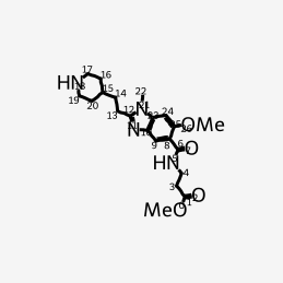 COC(=O)CCNC(=O)c1cc2nc(CCC3CCNCC3)n(C)c2cc1OC